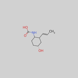 CC=CC1C[C@H](O)CCC1NC(=O)O